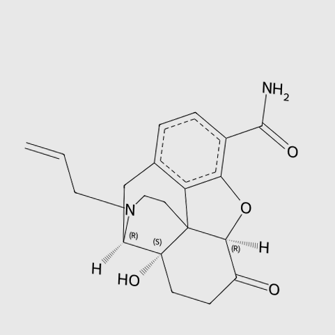 C=CCN1CCC23c4c5ccc(C(N)=O)c4O[C@H]2C(=O)CC[C@@]3(O)[C@H]1C5